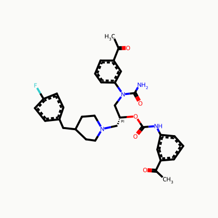 CC(=O)c1cccc(NC(=O)O[C@H](CN2CCC(Cc3ccc(F)cc3)CC2)CN(C(N)=O)c2cccc(C(C)=O)c2)c1